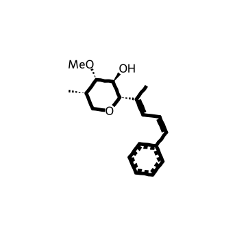 CO[C@@H]1[C@@H](O)[C@H](/C(C)=C/C=C\c2ccccc2)OC[C@@H]1C